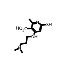 Cc1nc(S)cc(NCCCN(C)C)c1C(=O)O